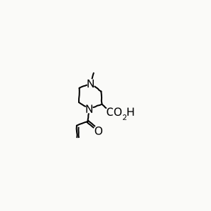 C=CC(=O)N1CCN(C)CC1C(=O)O